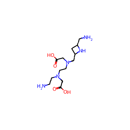 NCCN(CCN(CC(=O)O)CC1CC(CN)N1)CC(=O)O